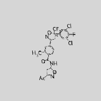 CC(=O)C1=NOC(NC(=O)c2ccc(C3=NO[C@@](c4cc(Cl)c(F)c(Cl)c4)(C(F)(F)F)C3)cc2C)C1